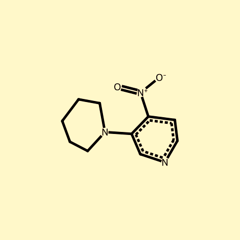 O=[N+]([O-])c1ccncc1N1CCCCC1